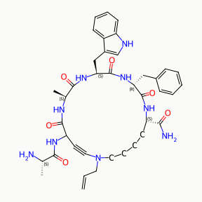 C=CCN1C#CC(NC(=O)[C@H](C)N)C(=O)N[C@@H](C)C(=O)N[C@@H](Cc2c[nH]c3ccccc23)C(=O)N[C@H](Cc2ccccc2)C(=O)N[C@H](C(N)=O)CCCC1